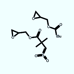 CC(C)(C)C(=O)OCC1CO1.CC(C)(C=S(=O)=O)C(=O)OCC1CO1